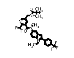 CCn1c(-c2ccc(C(F)(F)F)cc2)cc2cc(N(C)C(=O)c3cc(CNC(=O)C(C)(C)F)cnc3C(F)F)ccc21